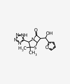 CC1(C)SC2C(C(O)c3ccco3)C(=O)N2C1c1nnn[nH]1